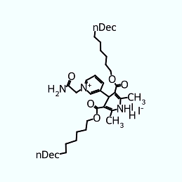 CCCCCCCCCCCCCCCCOC(=O)C1=C(C)NC(C)=C(C(=O)OCCCCCCCCCCCCCCCC)C1c1ccc[n+](CC(N)=O)c1.I.[I-]